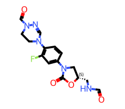 O=CNC[C@H]1CN(c2ccc(N3C=NN(C=O)CC3)c(F)c2)C(=O)O1